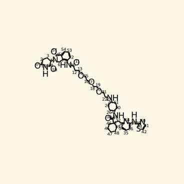 O=C1CCC(N2Cc3c(NC(=O)CCOCCOCCOCCN[C@H]4CC[C@@H](NC(=O)C5(Cc6cccc(Nc7nccs7)n6)CCCCC5)CC4)cccc3C2=O)C(=O)N1